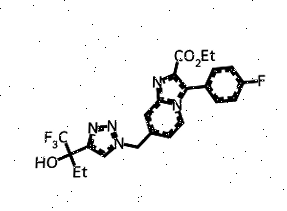 CCOC(=O)c1nc2cc(Cn3cc(C(O)(CC)C(F)(F)F)nn3)ccn2c1-c1ccc(F)cc1